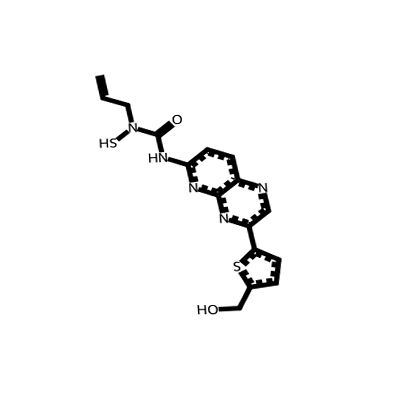 C=CCN(S)C(=O)Nc1ccc2ncc(-c3ccc(CO)s3)nc2n1